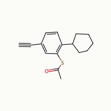 C#Cc1ccc(C2CCCCC2)c(SC(C)=O)c1